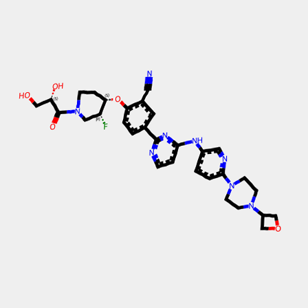 N#Cc1cc(-c2nccc(Nc3ccc(N4CCN(C5COC5)CC4)nc3)n2)ccc1O[C@H]1CCN(C(=O)[C@@H](O)CO)C[C@H]1F